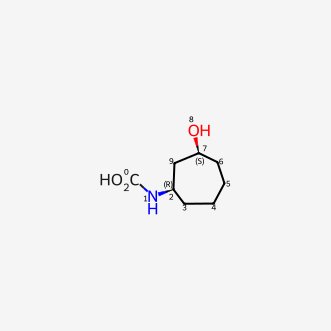 O=C(O)N[C@@H]1CCCC[C@H](O)C1